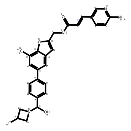 Nc1ccc(/C=C/C(=O)NCc2cc3cc(-c4ccc(C(O)N5CC(F)C5)cc4)cc(C(F)(F)F)c3o2)cn1